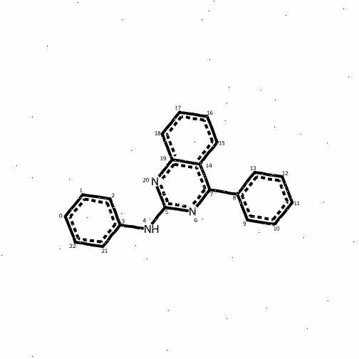 c1ccc(Nc2nc(-c3ccccc3)c3ccccc3n2)cc1